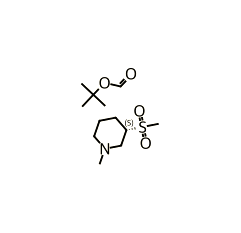 CC(C)(C)OC=O.CN1CCC[C@H](S(C)(=O)=O)C1